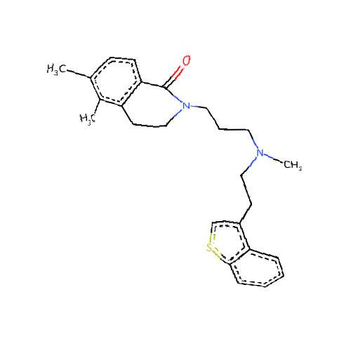 Cc1ccc2c(c1C)CCN(CCCN(C)CCc1csc3ccccc13)C2=O